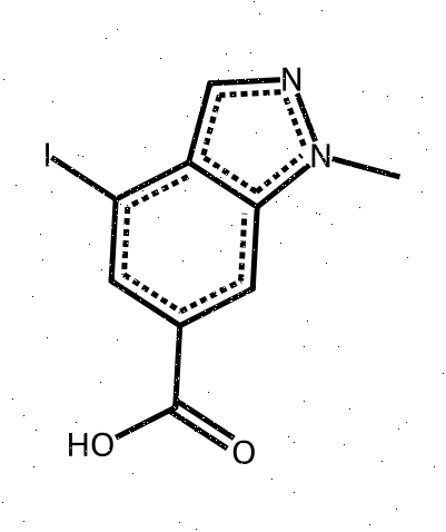 Cn1ncc2c(I)cc(C(=O)O)cc21